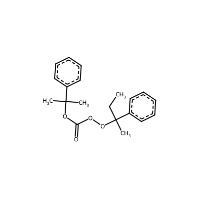 CCC(C)(OOC(=O)OC(C)(C)c1ccccc1)c1ccccc1